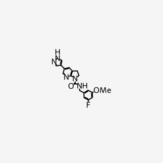 COc1cc(F)cc(CNC(=O)N2CCc3cc(-c4cn[nH]c4)cnc32)c1